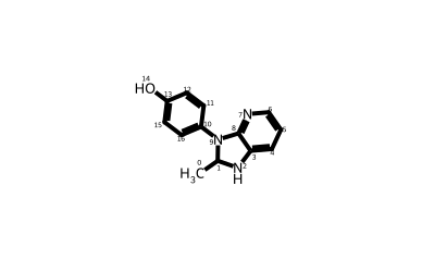 CC1Nc2cccnc2N1c1ccc(O)cc1